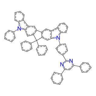 c1ccc(-c2cc(-c3ccccc3)nc(-c3ccc(-n4c5ccccc5c5cc6c(cc54)C(c4ccccc4)(c4ccccc4)c4cc5c(cc4-6)c4ccccc4n5-c4ccccc4)cc3)n2)cc1